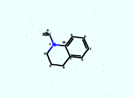 CCCCN1CCCc2c[c]ccc21